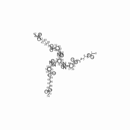 C=CC(=O)OCCCCCCOC(=O)c1cccc(-c2noc(-c3cc(-c4nc(-c5cccc(C(=O)OCCCCCCOC(=O)C=C)c5)no4)cc(-c4nc(-c5cccc(C(=O)OCCCCCCOC(=O)C=C)c5)no4)c3)n2)c1